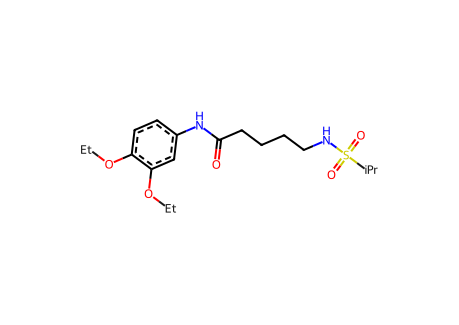 CCOc1ccc(NC(=O)CCCCNS(=O)(=O)C(C)C)cc1OCC